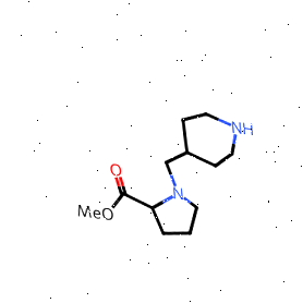 COC(=O)C1CCCN1CC1CCNCC1